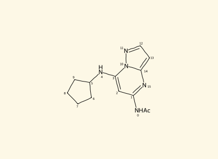 CC(=O)Nc1cc(NC2CCCC2)n2nccc2n1